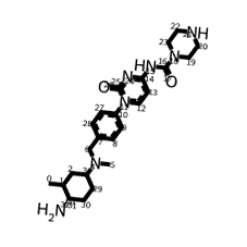 CC1CC(N(C)Cc2ccc(-n3ccc(NC(=O)N4CCNCC4)nc3=O)cc2)CC[C@@H]1N